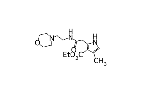 CCOC(=O)c1c(C)c[nH]c1CC(=O)NCCN1CCOCC1